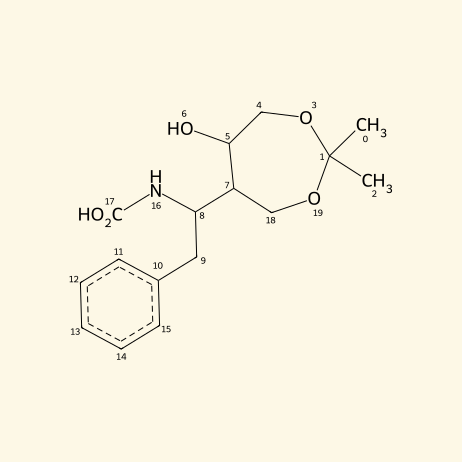 CC1(C)OCC(O)C(C(Cc2ccccc2)NC(=O)O)CO1